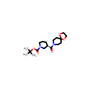 CC(C)(C)OC(=O)N1CCC[C@@H](C(=O)N2CCC3(CC2)OCCO3)C1